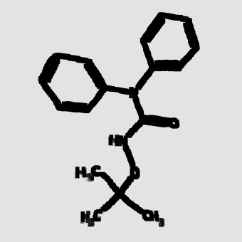 CC(C)(C)ONC(=O)N(c1ccccc1)c1ccccc1